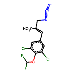 [N-]=[N+]=NC/C(=C/c1cc(Cl)c(OC(F)F)c(Cl)c1)C(=O)O